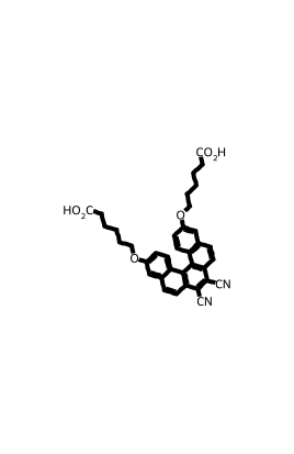 N#Cc1c(C#N)c2ccc3cc(OCCCCCC(=O)O)ccc3c2c2c1ccc1cc(OCCCCCC(=O)O)ccc12